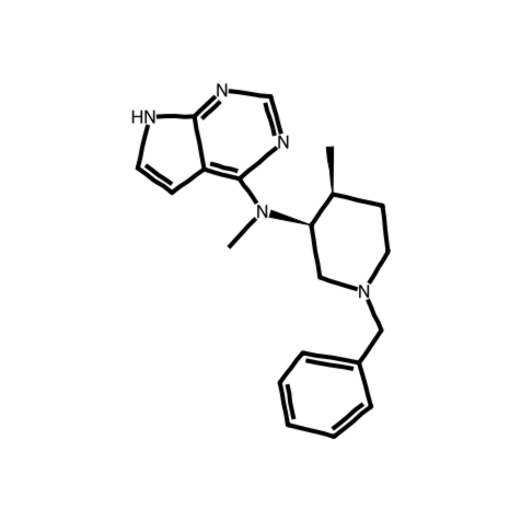 C[C@H]1CCN(Cc2ccccc2)C[C@H]1N(C)c1ncnc2[nH]ccc12